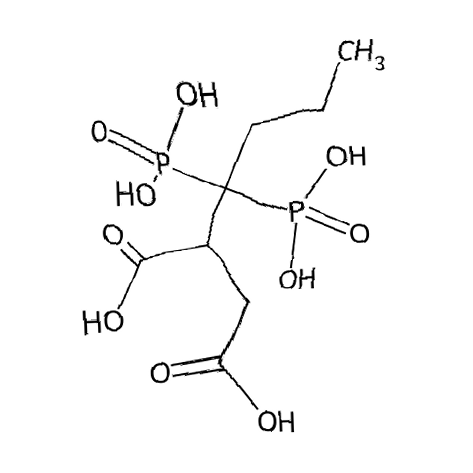 CCCC(C(CC(=O)O)C(=O)O)(P(=O)(O)O)P(=O)(O)O